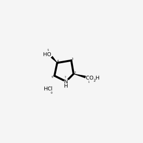 Cl.O=C(O)[C@@H]1C[C@H](O)CN1